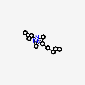 N#Cc1ccc(-c2ccc(-c3cccc4c3ccc3ccccc34)cc2)cc1-c1ccccc1-c1nc(-c2ccccc2)nc(-c2ccc3c4c(cccc24)-c2ccccc2-3)n1